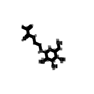 C=C(C)C(=O)OCCO[C@@H]1OC(CO)[C@H](O)[C@H](O)C1O